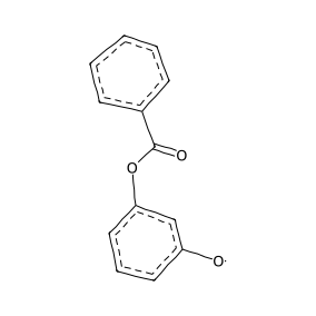 [O]c1cccc(OC(=O)c2ccccc2)c1